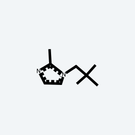 Cc1nccn1CC(C)(C)C